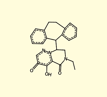 CCN1CC(C2c3ccccc3CCc3ccccc32)n2ncc(=O)c(O)c2C1=O